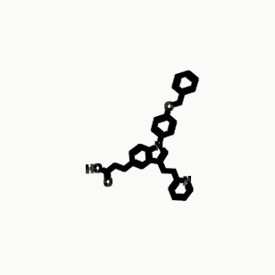 O=C(O)CCc1ccc2c(c1)c(CCc1ccccn1)cn2-c1ccc(OCc2ccccc2)cc1